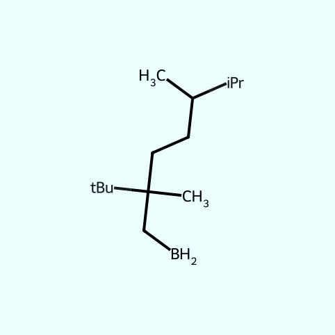 BCC(C)(CCC(C)C(C)C)C(C)(C)C